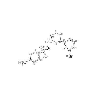 Cc1ccc(S(=O)(=O)OC[C@H]2CN(c3cc(Br)ccn3)CCO2)cc1